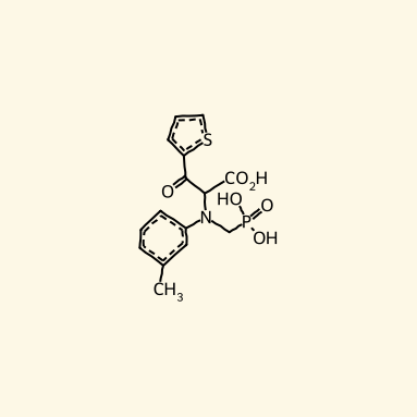 Cc1cccc(N(CP(=O)(O)O)C(C(=O)O)C(=O)c2cccs2)c1